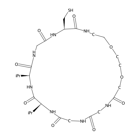 CC(C)[C@@H]1NC(=O)CNC(=O)CNC(=O)COCCOCCNC(=O)[C@H](CS)NC(=O)CNC(=O)[C@H](C(C)C)NC1=O